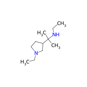 CCNC(C)(C)C1CCN(CC)C1